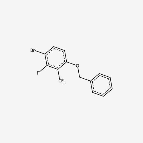 Fc1c(Br)ccc(OCc2ccccc2)c1C(F)(F)F